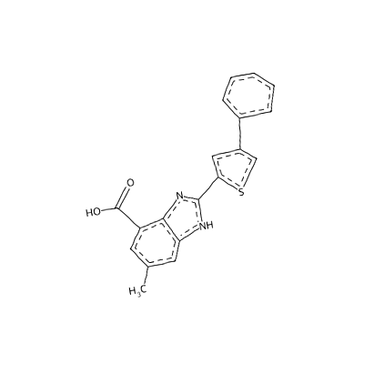 Cc1cc(C(=O)O)c2nc(-c3cc(-c4ccccc4)cs3)[nH]c2c1